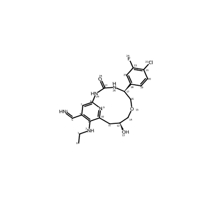 CCNc1c(C=N)cc2nc1C[C@H](O)COC[C@H](c1ccc(Cl)c(F)c1)NC(=O)N2